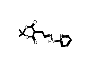 CC1(C)OC(=O)C(=CC=NNc2ccccn2)C(=O)O1